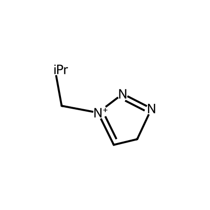 CC(C)C[N+]1=CCN=N1